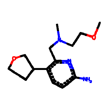 COCCN(C)Cc1nc(N)ccc1C1CCOC1